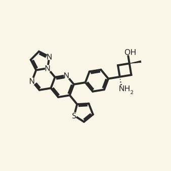 C[C@]1(O)C[C@](N)(c2ccc(-c3nc4c(cnc5ccnn54)cc3-c3cccs3)cc2)C1